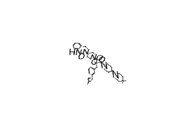 CC1(C)CCN(C2CCN(C(=O)[C@@H](Cc3cccc(CF)c3)OC(=O)N3CCC(N4CCc5ccccc5NC4=O)CC3)CC2)CC1